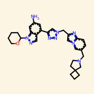 Nc1cc(-c2cn(Cc3cn4cc(CN5CCC6(CCC6)C5)ccc4n3)nn2)c2cnn(C3CCCCO3)c2c1